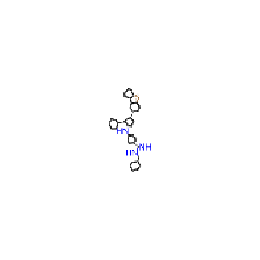 N=C(NCc1ccccc1)c1ccc(Nc2ccc(-c3ccc4sc5ccccc5c4c3)cc2-c2ccccc2)cc1